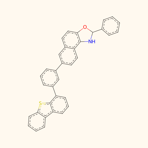 c1ccc(C2Nc3c(ccc4cc(-c5cccc(-c6cccc7c6sc6ccccc67)c5)ccc34)O2)cc1